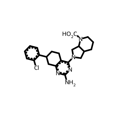 Nc1nc2c(c(N3CC4CCCN(C(=O)O)C4C3)n1)CCC(c1ccccc1Cl)C2